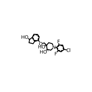 OC1CCc2c(OC[C@]3(O)CCN(c4c(F)cc(Cl)cc4F)C[C@H]3O)cccc21